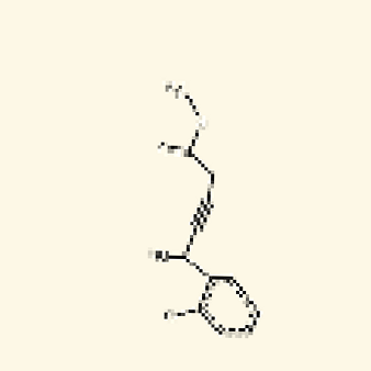 COC(=O)CC#CC(O)c1ccccc1Cl